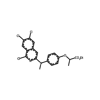 CCOC(=O)C(C)Oc1ccc(N(C)c2cc3cc(Cl)c(Cl)cc3c(Cl)n2)cc1